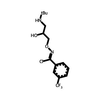 CC(C)(C)NCC(O)CON=C(Cl)c1cccc(C(F)(F)F)c1